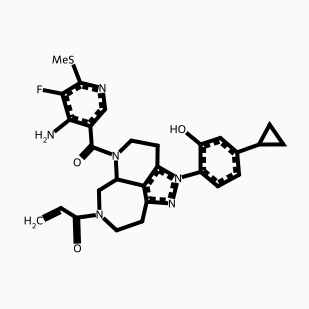 C=CC(=O)N1CCc2nn(-c3ccc(C4CC4)cc3O)c3c2C(C1)N(C(=O)c1cnc(SC)c(F)c1N)CC3